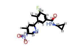 Cc1cc(-c2cc(C(=O)NC3CC3)cc(F)c2C)ncc1[N+](=O)[O-]